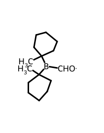 CC1(B([C]=O)C2(C)CCCCC2)CCCCC1